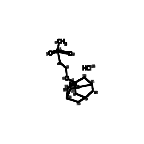 CS(=O)(=O)CCOC12CC3CC(C1)C(N)C(C3)C2.Cl